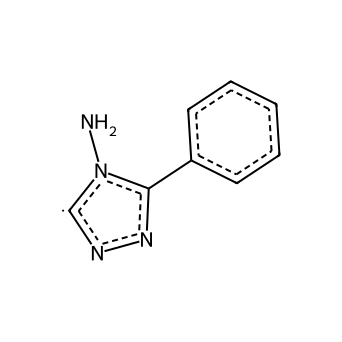 Nn1[c]nnc1-c1ccccc1